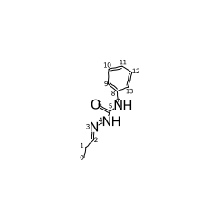 CCC=NNC(=O)Nc1ccccc1